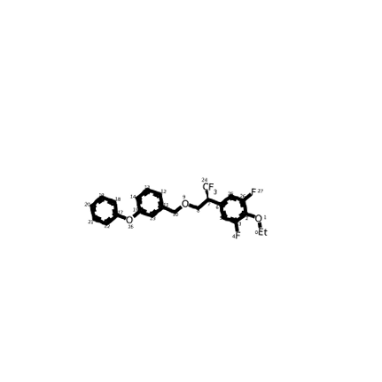 CCOc1c(F)cc([C@@H](COCc2cccc(Oc3ccccc3)c2)C(F)(F)F)cc1F